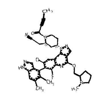 CC#CC(=O)N1CC[C@H](n2ncc3c(OCC4CCCN4C)nc4c(F)c(-c5c(C)c(C)cc6[nH]ncc56)c(Cl)cc4c32)C[C@H]1CC#N